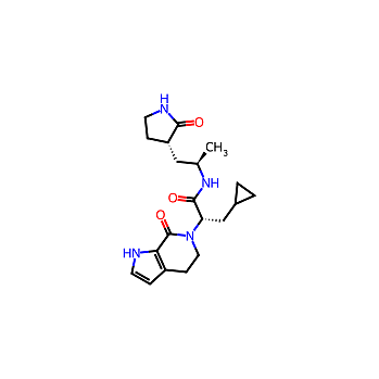 C[C@H](C[C@@H]1CCNC1=O)NC(=O)[C@H](CC1CC1)N1CCc2cc[nH]c2C1=O